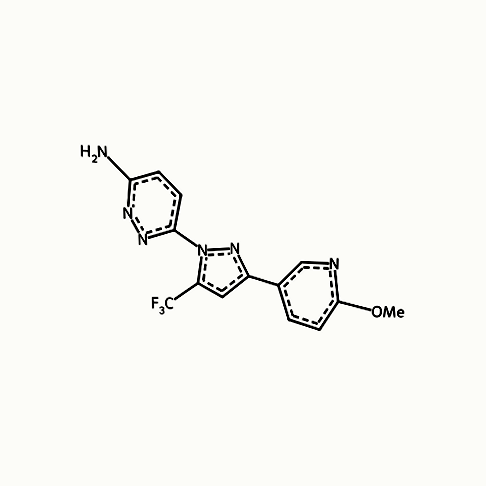 COc1ccc(-c2cc(C(F)(F)F)n(-c3ccc(N)nn3)n2)cn1